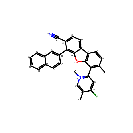 Cc1c[n+](C)c(-c2c(C)ccc3c2oc2c(-c4ccc5ccccc5c4)c(C#N)ccc23)cc1F